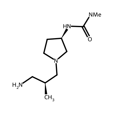 CNC(=O)N[C@@H]1CCN(C[C@@H](C)CN)C1